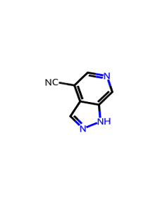 N#Cc1cncc2[nH]ncc12